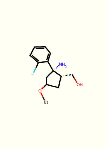 CCOC1C[C@@H](CO)[C@](N)(c2ccccc2F)C1